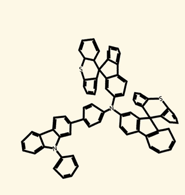 C1=CCC2=C(C=C1)c1ccc(N(c3ccc(-c4ccc5c6ccccc6n(-c6ccccc6)c5c4)cc3)c3ccc4c(c3)C3(c5ccccc5SC5C=CC=CC53)c3ccccc3-4)cc1C21C2=C(C=CCC2)Sc2ccccc21